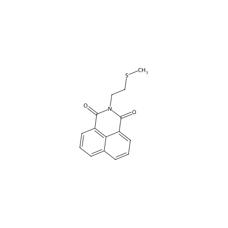 CSCCN1C(=O)c2cccc3cccc(c23)C1=O